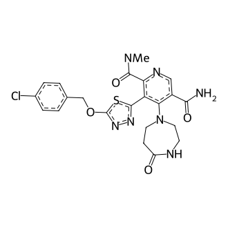 CNC(=O)c1ncc(C(N)=O)c(N2CCNC(=O)CC2)c1-c1nnc(OCc2ccc(Cl)cc2)s1